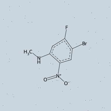 CNc1cc(F)c(Br)cc1[N+](=O)[O-]